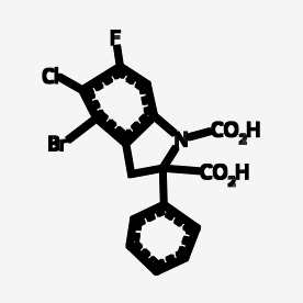 O=C(O)N1c2cc(F)c(Cl)c(Br)c2CC1(C(=O)O)c1ccccc1